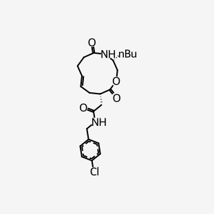 CCCC[C@@H]1COC(=O)[C@H](CC(=O)NCc2ccc(Cl)cc2)C/C=C/CCC(=O)N1